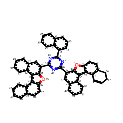 C1=Cc2c(ccc3oc4c(-c5nc(-c6cccc7ccccc67)nc(-c6cc7ccccc7c7c6oc6ccc8ccccc8c67)n5)cc5ccccc5c4c23)CC1